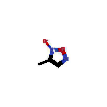 Cc1[c]no[n+]1[O-]